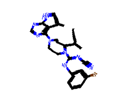 Cc1c[nH]c2ncnc(N3CCN(C(=NC#N)Nc4cccc(Br)c4)C(C(C)C)C3)c12